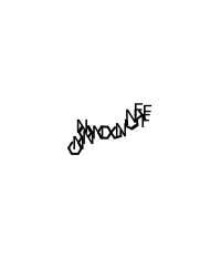 FC(F)(F)c1ccc(N2CCC3(CCN(c4cncc(N5CCCCC5)n4)CC3)C2)cn1